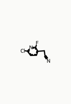 N#CCc1ccc(Cl)nc1F